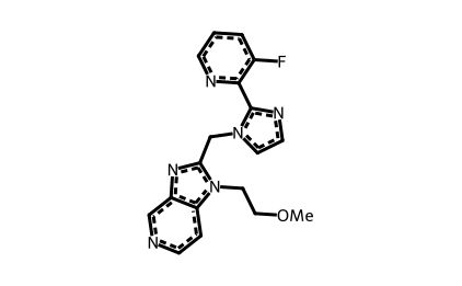 COCCn1c(Cn2ccnc2-c2ncccc2F)nc2cnccc21